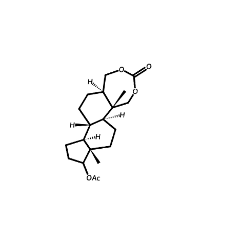 CC(=O)OC1CC[C@H]2[C@@H]3CC[C@H]4COC(=O)OC[C@]4(C)[C@H]3CC[C@]12C